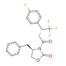 O=C(C[C@H](c1ccc(F)cc1)C(F)(F)F)N1C(=O)OC[C@H]1Cc1ccccc1